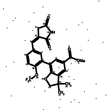 COC(=O)c1cc(-c2cc(C=C3SC(=O)NC3=O)ccc2OC(F)(F)F)c2c(c1)C(C)(C)CO2